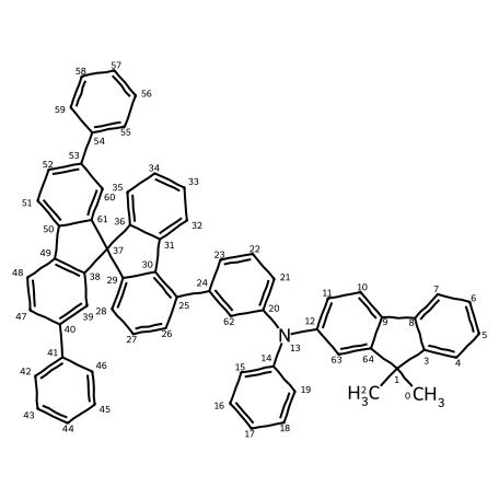 CC1(C)c2ccccc2-c2ccc(N(c3ccccc3)c3cccc(-c4cccc5c4-c4ccccc4C54c5cc(-c6ccccc6)ccc5-c5ccc(-c6ccccc6)cc54)c3)cc21